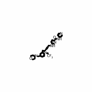 O=C(Nc1ccncc1)c1ccc(NCC#Cc2cc3cc(CNC4CCOCC4)ccc3n2CC(F)(F)F)cn1